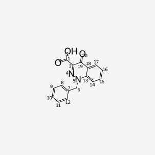 O=C(O)c1nn(Cc2ccccc2)c2ccccc2c1=O